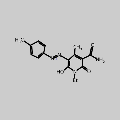 CCn1c(O)c(/N=N/c2ccc(C)cc2)c(C)c(C(N)=O)c1=O